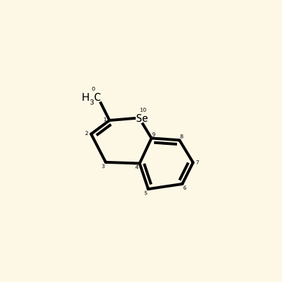 CC1=CCc2ccccc2[Se]1